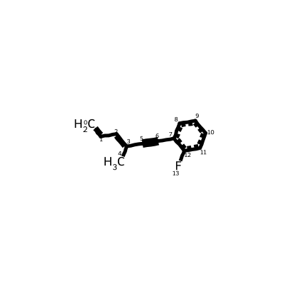 C=C/C=C(\C)C#Cc1ccccc1F